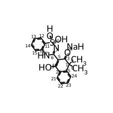 CC1(C)C(=O)C(C2=NS(O)(O)c3ccccc3N2)=C(O)c2ccccc21.[NaH]